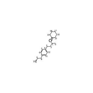 CC(CCc1ccc(CCI)cc1)OC1CCCCC1